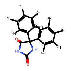 [2H]c1c([2H])c([2H])c(C2(c3c([2H])c([2H])c([2H])c([2H])c3[2H])NC(=O)NC2=O)c([2H])c1[2H]